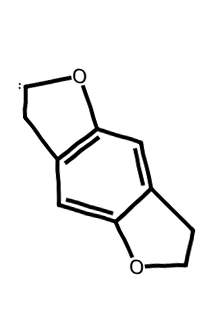 [C]1Cc2cc3c(cc2O1)CCO3